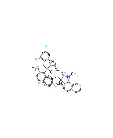 C=C(/C=C/C=C1/N(C)c2c(ccc3ccccc23)C1(C)Cc1ccc(F)cc1F)C(C)(Cc1ccc(F)cc1F)c1c(C)ccc2ccccc12